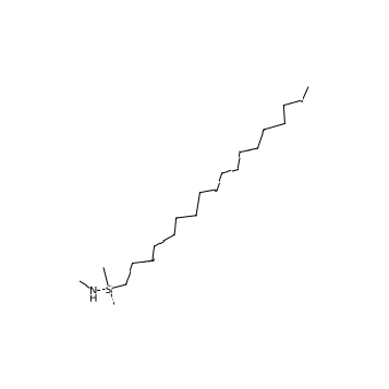 CCCCCCCCCCCCCCCCCC[Si](C)(C)NC